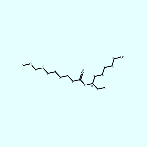 [CH2]OCOCCCCCC(=O)OC(CC)CCCCC[O]